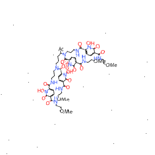 COCCNC(=O)c1ccc(C(=O)NCCCN(CCCC(C(C)=O)N(CCCNC(=O)c2ccc(C(=O)NCCOC)c(=O)n2O)C(=O)c2ccc(C(=O)NCCOC)c(=O)n2O)C(=O)c2ccc(C(=O)NCCOC)c(=O)n2O)n(O)c1=O